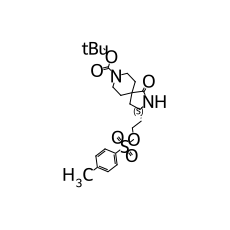 Cc1ccc(S(=O)(=O)OCC[C@@H]2CC3(CCN(C(=O)OC(C)(C)C)CC3)C(=O)N2)cc1